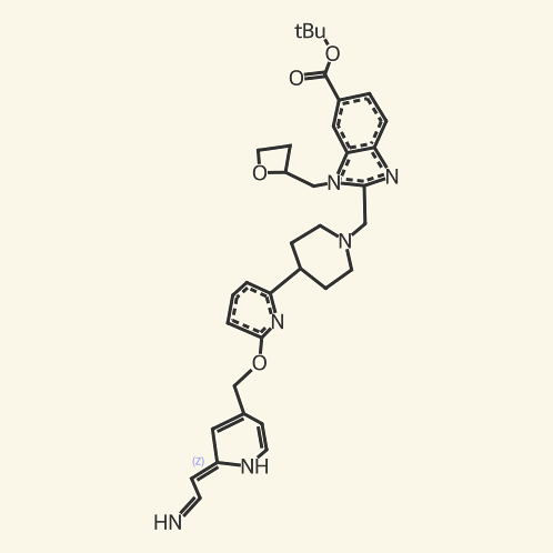 CC(C)(C)OC(=O)c1ccc2nc(CN3CCC(c4cccc(OCC5=C/C(=C/C=N)NC=C5)n4)CC3)n(CC3CCO3)c2c1